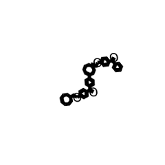 CC1(COc2ccc(C(=O)c3ccccc3)cc2)CCC/C=C(/c2ccc(C(=O)c3ccc(OCC4CC/C=C\CCC4)cc3)cc2)CC1